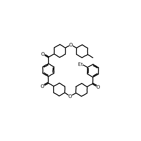 CCc1cccc(C(=O)C2CCC(OC3CCC(C(=O)c4ccc(C(=O)C5CCC(OC6CCC(C)CC6)CC5)cc4)CC3)CC2)c1